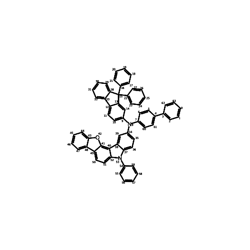 c1ccc(-c2ccc(N(c3ccc4c(c3)C(c3ccccc3)(c3ccccc3)c3ccccc3-4)c3ccc4c(c3)c3c5oc6ccccc6c5ccc3n4-c3ccccc3)cc2)cc1